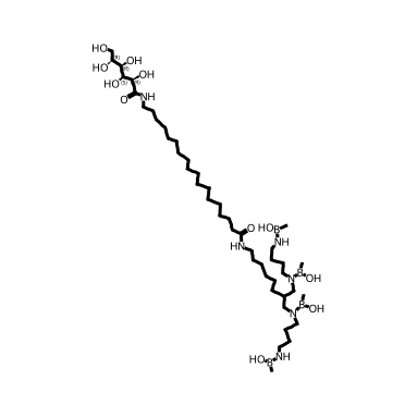 CB(O)NCCCCN(CC(CCCCCCNC(=O)CCCCCCCCCCCCCCCCCNC(=O)[C@H](O)[C@@H](O)[C@H](O)[C@H](O)CO)CN(CCCCNB(C)O)B(C)O)B(C)O